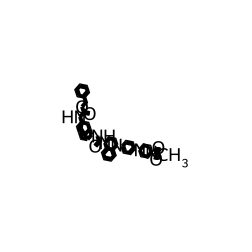 CS(=O)(=O)N1CCN(c2ccc(N3CCN(C(=O)NC4C5CC6CC4CC(NC(=O)OCc4ccccc4)(C6)C5)c4ccccc43)cc2)CC1